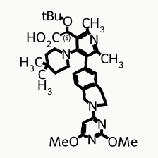 COc1cc(N2CCc3cc(-c4c(C)nc(C)c([C@H](OC(C)(C)C)C(=O)O)c4N4CCC(C)(C)CC4)ccc3C2)nc(OC)n1